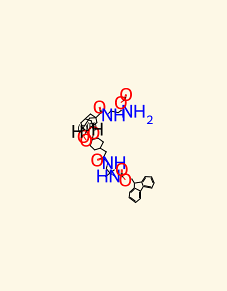 CC(C)(CNC(=O)CC1CCC2(CC1)OOC1(O2)[C@@H]2CC3C[C@H]1CC(C(=O)NCCC(N)OC=O)(C3)C2)NC(=O)OCC1c2ccccc2-c2ccccc21